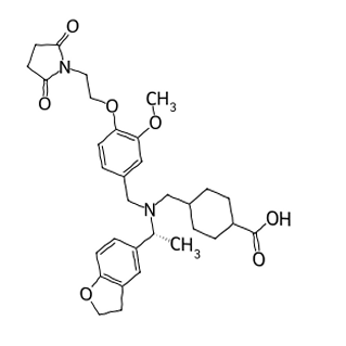 COc1cc(CN(CC2CCC(C(=O)O)CC2)[C@H](C)c2ccc3c(c2)CCO3)ccc1OCCN1C(=O)CCC1=O